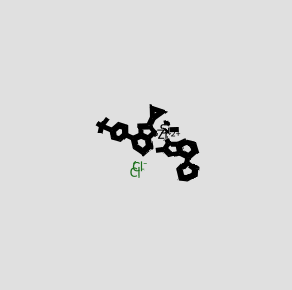 CC1=Cc2c(-c3ccccc3)cccc2[CH]1[Zr+2]([CH]1C(C2CC2)=Cc2c(-c3ccc(C(C)(C)C)cc3)cccc21)=[Si](C)C.[Cl-].[Cl-]